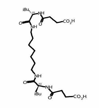 CCC(C)[C@H](NC(=O)CCC(=O)O)C(=O)NCCCCCCCNC(=O)[C@@H](NC(=O)CCC(=O)O)C(C)CC